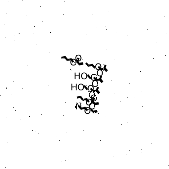 C=C(C)C(=O)OCCCC.C=C(C)C(=O)OCCO.C=C(C)C(=O)OCCO.C=CC(=O)OCCCC.C=CC(=O)OCCCC.C=CC(=O)OCCN(C)C